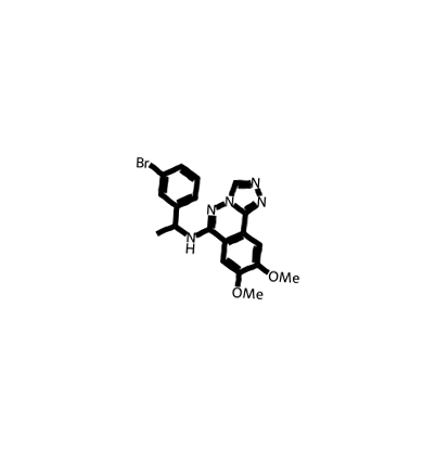 COc1cc2c(NC(C)c3cccc(Br)c3)nn3cnnc3c2cc1OC